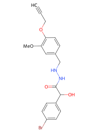 C#CCOc1ccc(CNNC(=O)C(O)c2ccc(Br)cc2)cc1OC